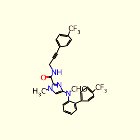 Cn1cc(N(C=O)c2ccccc2-c2ccc(C(F)(F)F)cc2)nc1C(=O)NCC#Cc1ccc(C(F)(F)F)cc1